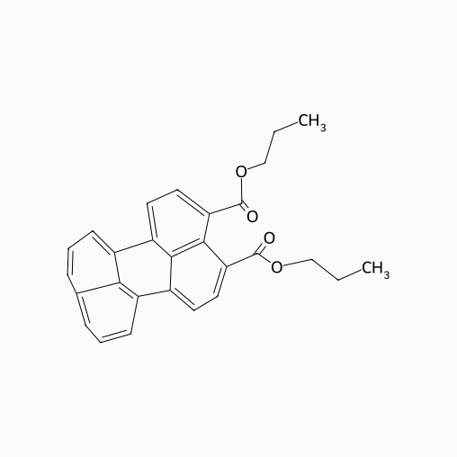 CCCOC(=O)c1ccc2c3cccc4cccc(c5ccc(C(=O)OCCC)c1c25)c43